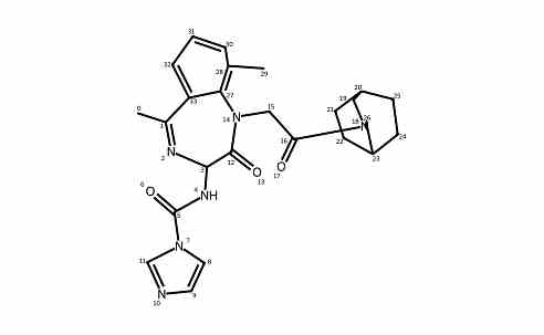 CC1=NC(NC(=O)n2ccnc2)C(=O)N(CC(=O)N2CC3CCC(CC3)C2)c2c(C)cccc21